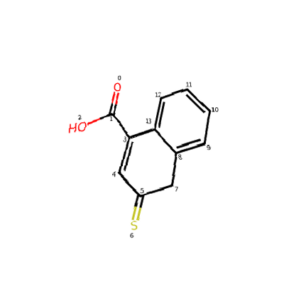 O=C(O)C1=CC(=S)Cc2ccccc21